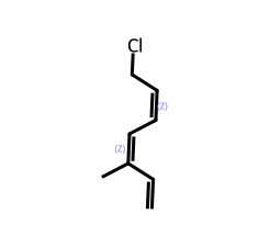 C=C/C(C)=C\C=C/CCl